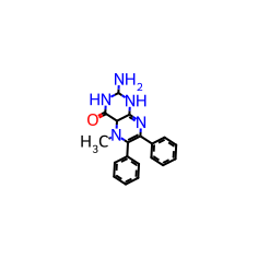 CN1C(c2ccccc2)=C(c2ccccc2)N=C2NC(N)NC(=O)C21